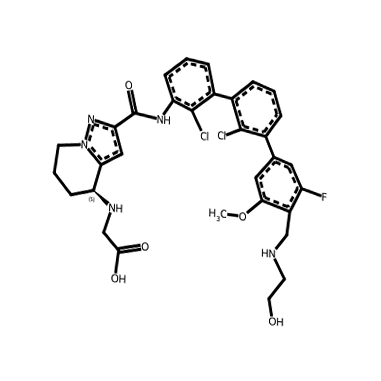 COc1cc(-c2cccc(-c3cccc(NC(=O)c4cc5n(n4)CCC[C@@H]5NCC(=O)O)c3Cl)c2Cl)cc(F)c1CNCCO